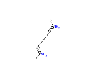 CCCCCCc1cc(Cc2ccc(CCCCCCCCCCCCCCc3ccc(Cc4ccc(N)c(CCCCCC)c4)cc3)cc2)ccc1N